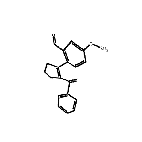 COc1ccc(C2=C(C(=O)c3ccccc3)CCC2)c(C=O)c1